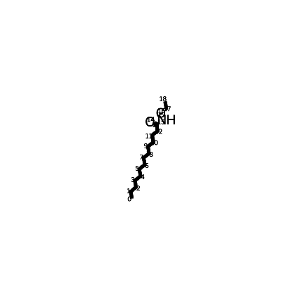 CCCCCCCCCCCCCC(=O)NOCC